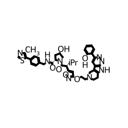 Cc1ncsc1-c1ccc(CNC(=O)[C@@H]2C[C@@H](O)CN2C(=O)[C@@H](c2cc(OCCN3CCc4[nH]c5nnc(-c6ccccc6O)cc5c4C3)no2)C(C)C)cc1